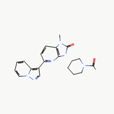 CCC(=O)N1CCC[C@H](n2c(=O)n(C)c3ccc(-c4cnn5ccccc45)nc32)C1